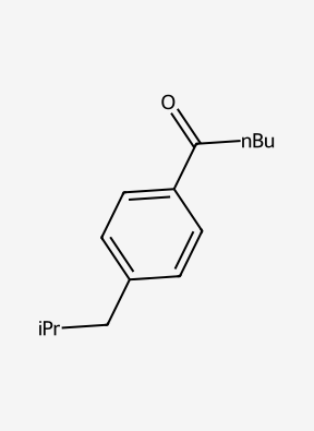 CCCCC(=O)c1ccc(CC(C)C)cc1